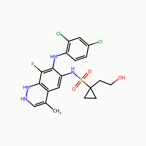 CC1=CNNc2c1cc(NS(=O)(=O)C1(CCO)CC1)c(Nc1ccc(Cl)cc1Cl)c2F